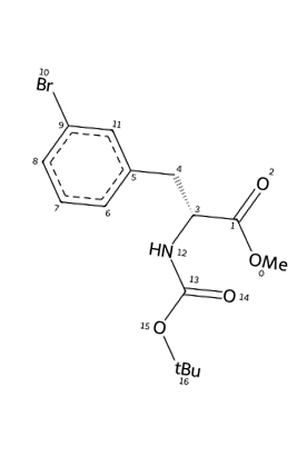 COC(=O)[C@@H](Cc1cccc(Br)c1)NC(=O)OC(C)(C)C